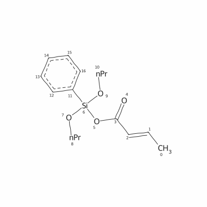 CC=CC(=O)O[Si](OCCC)(OCCC)c1ccccc1